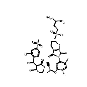 C#CC(C)Oc1cc(N2C(=O)C3=C(CCCC3)C2=O)c(F)cc1Cl.CP(=O)(O)CCC(N)C(=O)O.CS(=O)(=O)c1ccc(C(=O)C2C(=O)CCCC2=O)c(Cl)c1